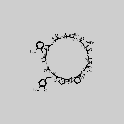 CC[C@H](C)[C@@H]1NC(=O)[C@H](CC(C)C)N(C)C(=O)C[C@@H](C)NC(=O)[C@H](C(C)C)N(C)C(=O)C2(CCCC2)NC(=O)[C@@H]2CCCN2C(=O)[C@H](CCc2ccc(C(F)(F)F)c(Cl)c2)NC(=O)CN(C)C(=O)[C@H](Cc2ccccc2C(F)(F)F)N(C)C(=O)CN(C)C(=O)CN(C)C1=O